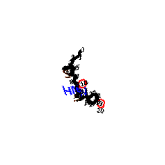 CCCc1csc(CCC(=O)Nc2nc(-c3ccc(OC)cc3)cs2)c1